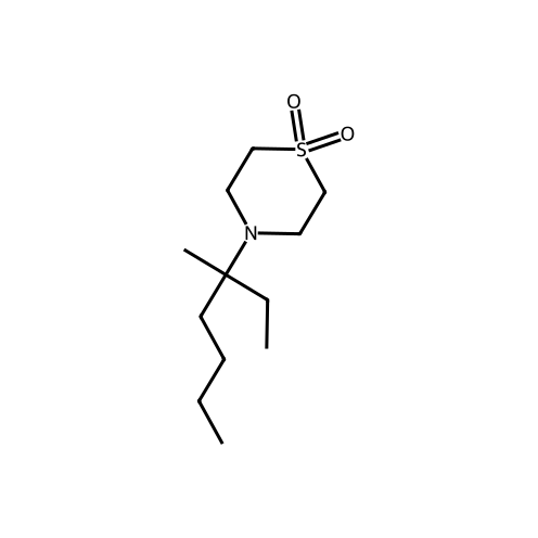 CCCCC(C)(CC)N1CCS(=O)(=O)CC1